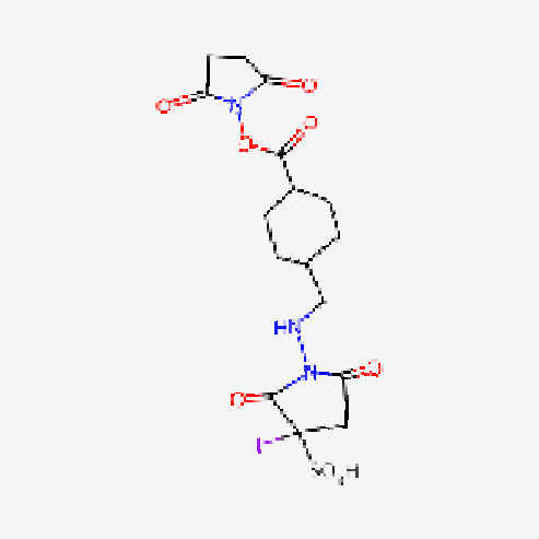 O=C(ON1C(=O)CCC1=O)C1CCC(CNN2C(=O)CC(I)(S(=O)(=O)O)C2=O)CC1